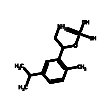 Cc1ccc(C(C)C)cc1C(CN)OP(O)(=S)S